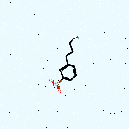 CC(C)CCCc1cccc([SH](=O)=O)c1